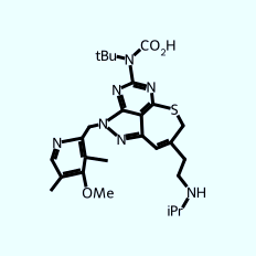 COc1c(C)cnc(Cn2nc3c4c(nc(N(C(=O)O)C(C)(C)C)nc42)SCC(CCNC(C)C)=C3)c1C